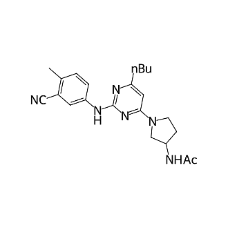 CCCCc1cc(N2CCC(NC(C)=O)C2)nc(Nc2ccc(C)c(C#N)c2)n1